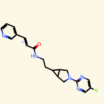 O=C(/C=C/c1cccnc1)NCCC1C2CN(c3ncc(F)cn3)CC12